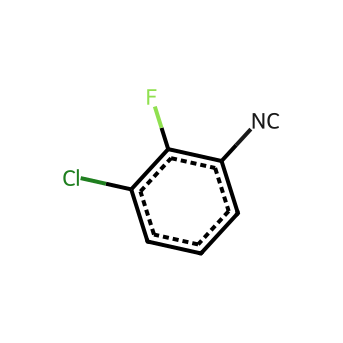 [C-]#[N+]c1cccc(Cl)c1F